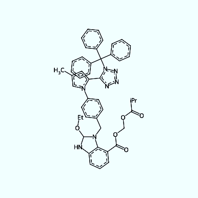 CCOC1Nc2cccc(C(=O)OCOC(=O)C(C)C)c2N1Cc1ccc(-n2cc(C)cc2-c2nnnn2C(c2ccccc2)(c2ccccc2)c2ccccc2)cc1